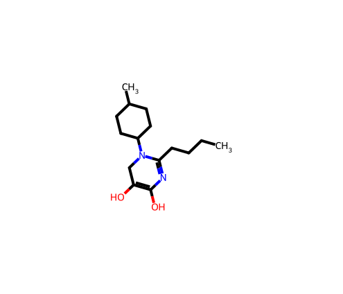 CCCCC1=NC(O)=C(O)CN1C1CCC(C)CC1